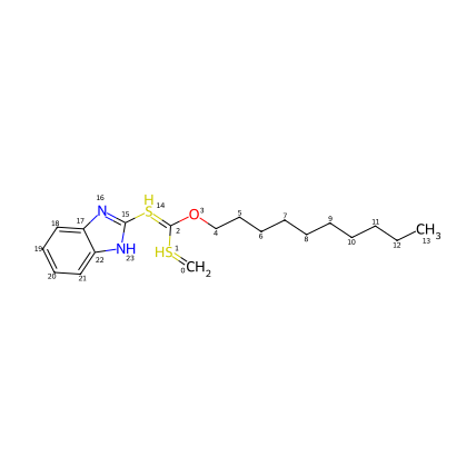 C=[SH]C(OCCCCCCCCCC)=[SH]c1nc2ccccc2[nH]1